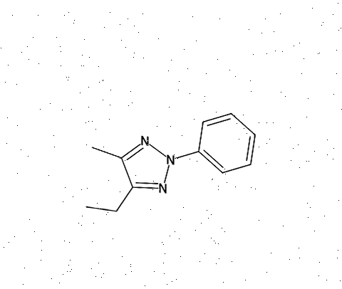 CCc1nn(-c2ccccc2)nc1C